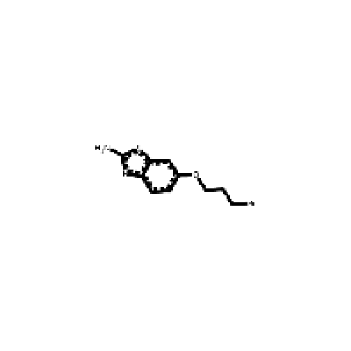 Nc1nc2ccc(OCCCBr)cc2s1